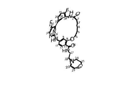 O=C1CCCCCOc2cc(ccc2C(=O)NCCN2CCOCC2)Nc2ncc(F)c(n2)-c2ccc(F)c(c2)N1